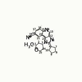 C[C@@H]1C[C@H](n2c(C3CCCC3)nc3cnc4ccc(C#N)cc4c32)CCO1